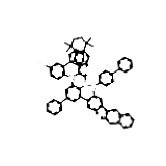 CC(C)(C)c1ccc(N2c3cc(-c4ccccc4)cc4c3B(c3oc5cc6c(cc5c32)C(C)(C)CCC6(C)C)N(c2ccc(-c3ccccc3)cc2)c2cc3c(cc2-4)sc2cc4ccccc4cc23)c(-c2ccccc2)c1